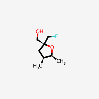 C[C@@H]1O[C@@](CO)(CF)C[C@@H]1C